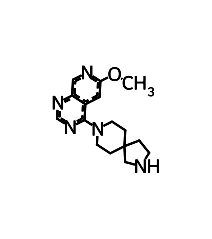 COc1cc2c(N3CCC4(CCNC4)CC3)ncnc2cn1